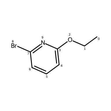 CCOc1cccc(Br)n1